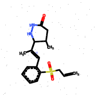 C=CCS(=O)(=O)c1ccccc1/C=C(\C)C1NNC(=O)CC1C